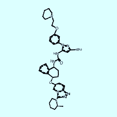 C[C@H]1CCCCN1c1nnc2ccc(O[C@@H]3CC[C@H](NC(=O)Nc4cc(C(C)(C)C)nn4-c4cccc(OCCN5CCCCC5)c4)c4ccccc43)cn12